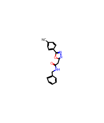 N#Cc1ccc(-c2nnc(CC(=O)NCc3ccccc3)o2)cc1